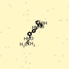 CN(C)CCNC(=O)c1cccc(-c2ccc(CNc3nc(=O)n(O)c4ncccc34)cc2)c1